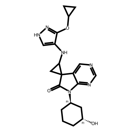 O=C1N([C@@H]2CCC[C@@H](O)C2)c2ncncc2C12CC2Nc1c[nH]nc1OC1CC1